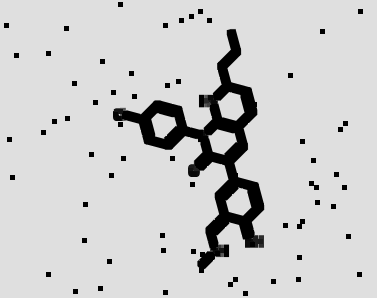 CCCC1C=Cc2cc(C3=C/C(=C/NC)C(=N)C=C3)c(=O)n(-c3ccc(Cl)cc3)c2N1